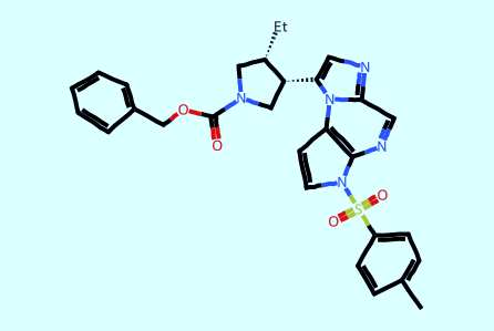 CC[C@H]1CN(C(=O)OCc2ccccc2)C[C@H]1c1cnc2cnc3c(ccn3S(=O)(=O)c3ccc(C)cc3)n12